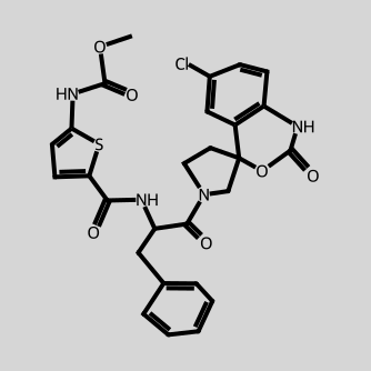 COC(=O)Nc1ccc(C(=O)NC(Cc2ccccc2)C(=O)N2CCC3(C2)OC(=O)Nc2ccc(Cl)cc23)s1